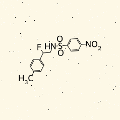 Cc1ccc(C(F)CNS(=O)(=O)c2ccc([N+](=O)[O-])cc2)cc1